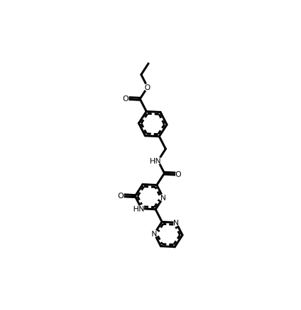 CCOC(=O)c1ccc(CNC(=O)c2cc(=O)[nH]c(-c3ncccn3)n2)cc1